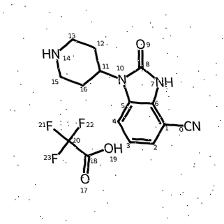 N#Cc1cccc2c1[nH]c(=O)n2C1CCNCC1.O=C(O)C(F)(F)F